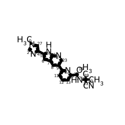 Cn1cnc(-c2cc3cc(-c4cccc(C(=O)NC(C)(C)C#N)n4)cnc3[nH]2)c1